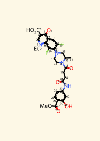 CCn1cc(C(=O)O)c(=O)c2cc(F)c(N3CCN(C(=O)CCC(=O)Nc4ccc(C(=O)OC)c(O)c4)C(C)C3)c(F)c21